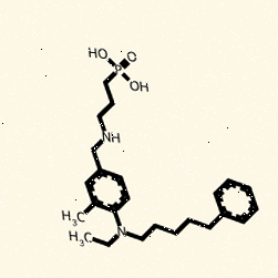 CCN(CCCCCc1ccccc1)c1ccc(CNCCCP(=O)(O)O)cc1C